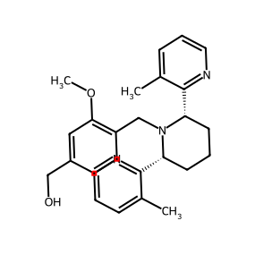 COc1cc(CO)ccc1CN1[C@@H](c2ncccc2C)CCC[C@H]1c1ncccc1C